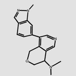 CN(C)C1COCc2c(-c3ccc4cnn(C)c4c3)cncc21